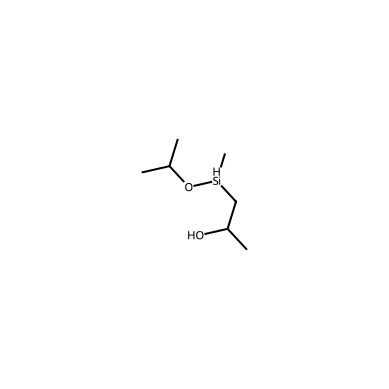 CC(O)C[SiH](C)OC(C)C